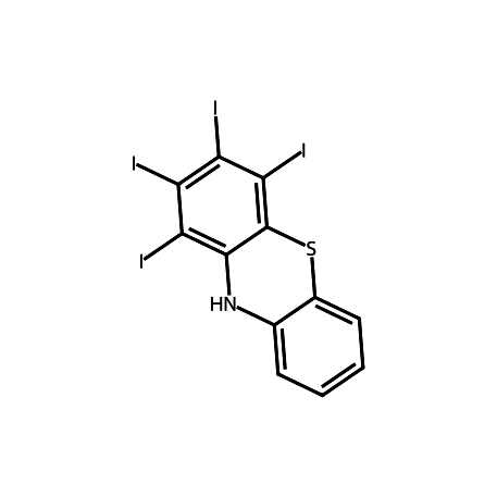 Ic1c(I)c(I)c2c(c1I)Nc1ccccc1S2